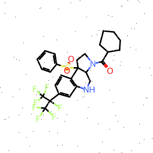 O=C(C1CCCCC1)N1CCC2(S(=O)(=O)c3ccccc3)c3ccc(C(F)(C(F)(F)F)C(F)(F)F)cc3NCC12